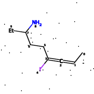 CC=C=C(I)CCC(N)CC